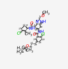 COCc1nc2c(C(=O)Nc3cccc(Cl)c3C)cc(NC(=O)c3cc(CCCOC(C)(C)C)ccc3Cl)cc2[nH]1